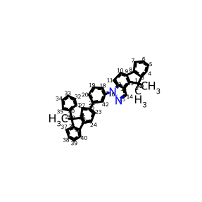 CC1(C)c2ccccc2-c2ccc3c(cnn3-c3cccc(-c4ccc5c(c4)C(C)(c4ccccc4)c4ccccc4-5)c3)c21